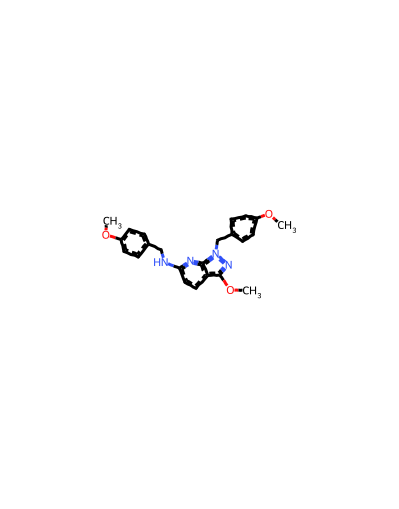 COc1ccc(CNc2ccc3c(OC)nn(Cc4ccc(OC)cc4)c3n2)cc1